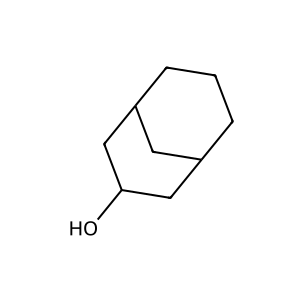 OC1CC2CCCC(C1)C2